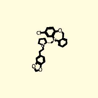 Clc1ccc2c(c1)N(C[C@H]1CCCN1CCc1ccc3c(c1)OCO3)c1ccccc1CO2